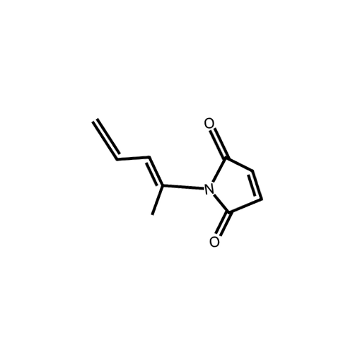 C=C/C=C(\C)N1C(=O)C=CC1=O